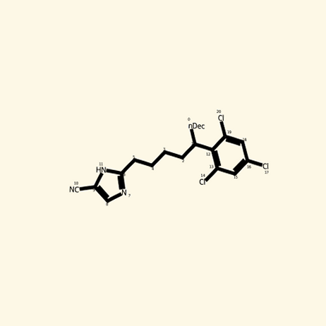 CCCCCCCCCCC(CCCCc1ncc(C#N)[nH]1)c1c(Cl)cc(Cl)cc1Cl